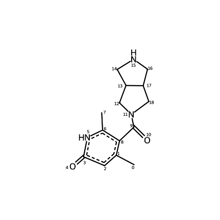 Cc1cc(=O)[nH]c(C)c1C(=O)N1CC2CNCC2C1